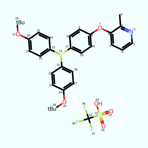 Cc1ncccc1Oc1ccc([S+](c2ccc(OC(C)(C)C)cc2)c2ccc(OC(C)(C)C)cc2)cc1.O=S(=O)(O)C(F)(F)F